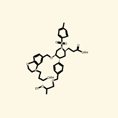 CCOC(C)COCc1ccc([C@H]2C[C@H](CCC(=O)OC)N(S(=O)(=O)c3ccc(C)cc3)C[C@@H]2OCc2ccc3c(c2)N(CCCOC)CCO3)cc1